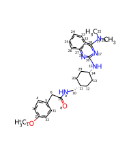 COc1ccc(CC(=O)NC[C@H]2CC[C@@H](Nc3nc(N(C)C)c4ccccc4n3)CC2)cc1